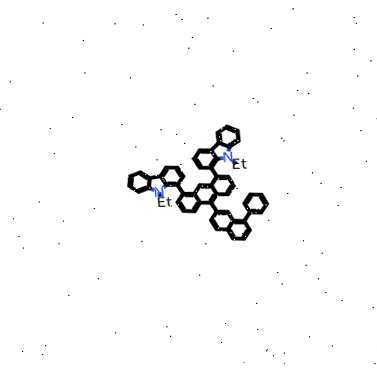 CCn1c2ccccc2c2cccc(-c3cccc4c(-c5ccc6cccc(-c7ccccc7)c6c5)c5cccc(-c6cccc7c8ccccc8n(CC)c67)c5cc34)c21